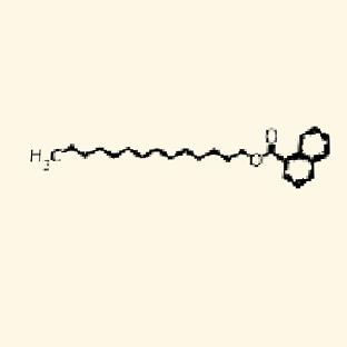 CCCCCCCCCCCCCCOC(=O)c1cccc2ccccc12